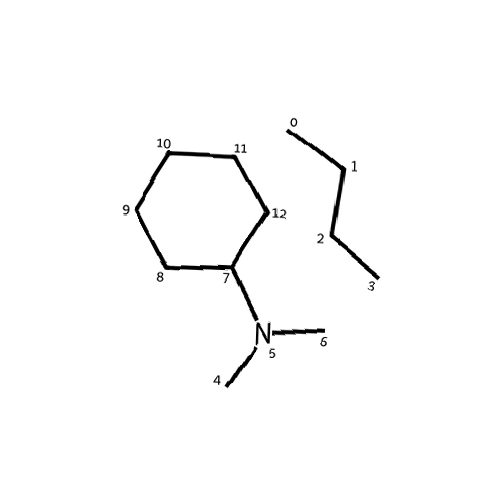 CCCC.CN(C)C1CCCCC1